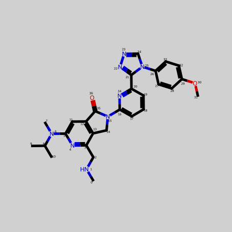 CNCc1nc(N(C)C(C)C)cc2c1CN(c1cccc(-c3nncn3-c3ccc(OC)cc3)n1)C2=O